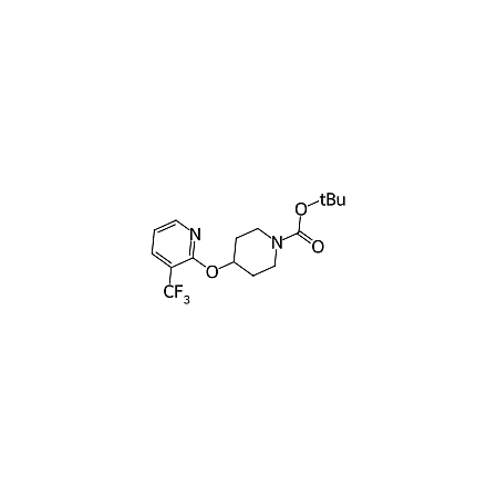 CC(C)(C)OC(=O)N1CCC(Oc2ncccc2C(F)(F)F)CC1